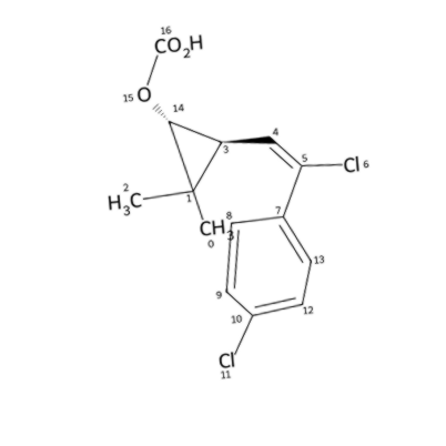 CC1(C)[C@H](/C=C(/Cl)c2ccc(Cl)cc2)[C@H]1OC(=O)O